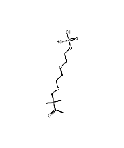 CC(=O)C(C)(C)COCCOCCOP(=O)(O)O